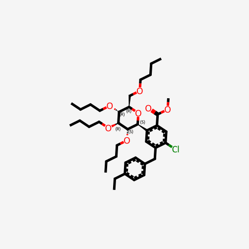 CCCCOC[C@H]1O[C@@H](c2cc(Cc3ccc(CC)cc3)c(Cl)cc2C(=O)OC)[C@H](OCCCC)[C@@H](OCCCC)[C@@H]1OCCCC